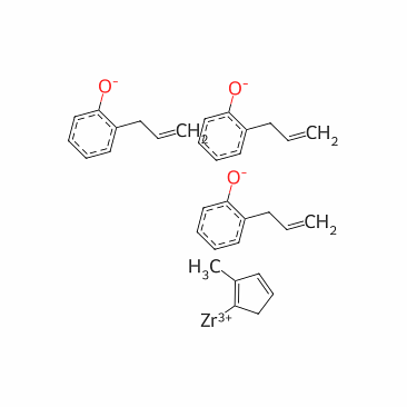 C=CCc1ccccc1[O-].C=CCc1ccccc1[O-].C=CCc1ccccc1[O-].CC1=[C]([Zr+3])CC=C1